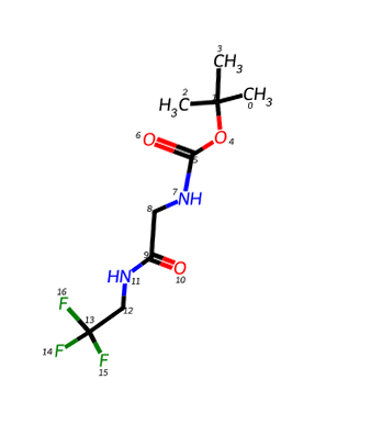 CC(C)(C)OC(=O)NCC(=O)NCC(F)(F)F